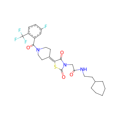 O=C(CN1C(=O)SC(=C2CCN(C(=O)c3cc(F)ccc3C(F)(F)F)CC2)C1=O)NCCC1CCCCC1